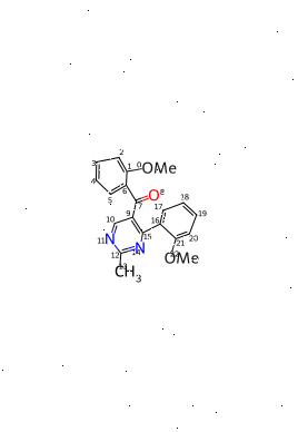 COc1ccccc1C(=O)c1cnc(C)nc1-c1ccccc1OC